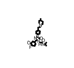 COc1cc(-c2nn(-c3ccc(CCN4CCC(C)CC4)cc3)c(=O)n2CC(=O)NC(C)C)ccc1F